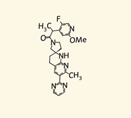 COc1cc(C(C)C(=O)N2CC[C@@]3(CCc4cc(-c5ncccn5)c(C)nc4N3)C2)c(F)cn1